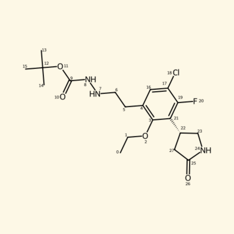 CCOc1c(CCNNC(=O)OC(C)(C)C)cc(Cl)c(F)c1[C@@H]1CNC(=O)C1